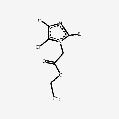 CCOC(=O)Cn1c(Br)nc(Cl)c1Cl